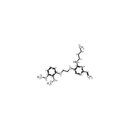 C=Cc1ncc(OCCOc2cccc(OC)c2OC)c(NCCCC)n1